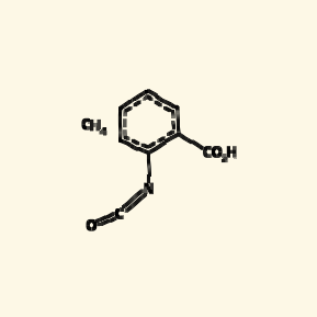 C.O=C=Nc1ccccc1C(=O)O